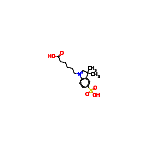 CC1(C)C=[N+](CCCCCC(=O)O)c2ccc(S(=O)(=O)O)cc21